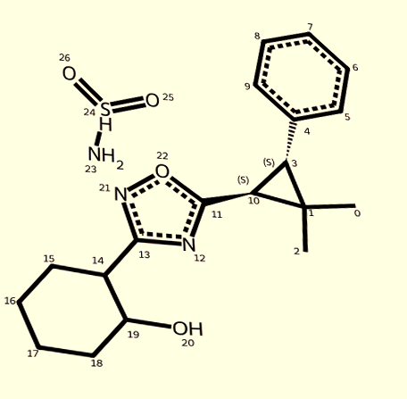 CC1(C)[C@@H](c2ccccc2)[C@@H]1c1nc(C2CCCCC2O)no1.N[SH](=O)=O